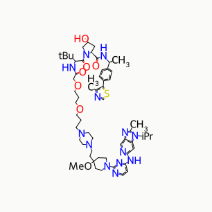 COC1(CCN2CCN(CCCOCCCOCC(=O)NC(C(=O)N3C[C@H](O)C[C@H]3C(=O)N[C@@H](C)c3ccc(-c4scnc4C)cc3)C(C)(C)C)CC2)CCN(c2nccc(Nc3cc4c(cn3)nc(C)n4C(C)C)n2)CC1